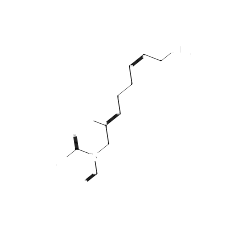 C=CN(C/C(C)=C/CC/C=C\CC)C(C)=O